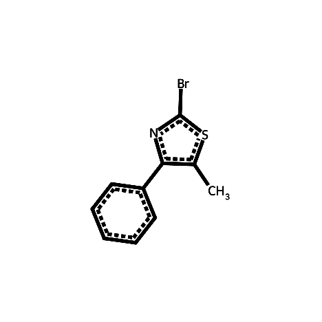 Cc1sc(Br)nc1-c1ccccc1